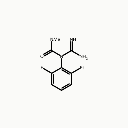 CCc1cccc(F)c1N(C(=N)N)C(=O)NC